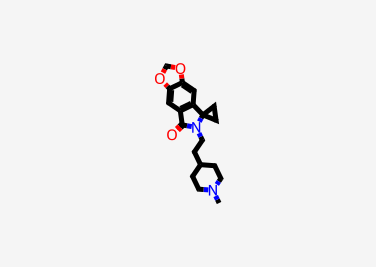 CN1CCC(CCN2C(=O)c3cc4c(cc3C23CC3)OCO4)CC1